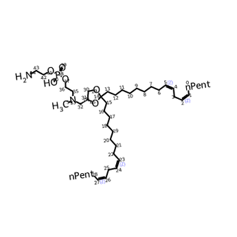 CCCCC/C=C\C/C=C\CCCCCCCCC1(CCCCCCCC/C=C\C/C=C\CCCCC)OC[C@H](CN(C)CCOP(=O)(O)OCCN)O1